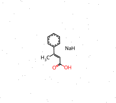 CC(=CC(=O)O)c1ccccc1.[NaH]